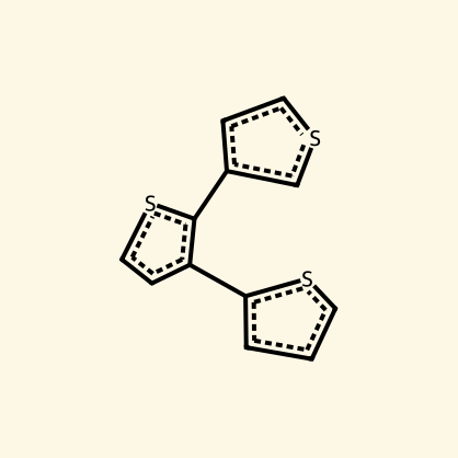 c1csc(-c2ccsc2-c2ccsc2)c1